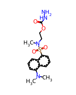 CN(C)c1cccc2c(S(=O)(=O)N(C)CCOC(=O)NN)cccc12